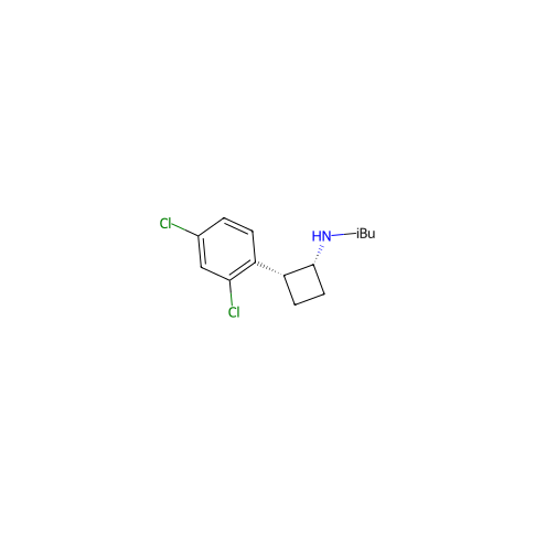 CCC(C)N[C@@H]1CC[C@@H]1c1ccc(Cl)cc1Cl